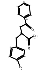 O=C(CC(Cc1ccc(Br)cc1)C(=O)O)c1ccccc1